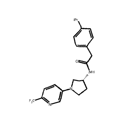 CC(C)c1ccc(CC(=O)N[C@@H]2CCN(c3ccc(C(F)(F)F)nc3)C2)cc1